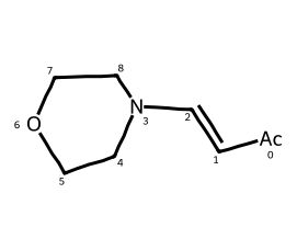 CC(=O)C=CN1CCOCC1